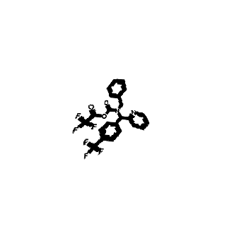 O=C(OC(=O)C(F)(F)F)N(Cc1ccccc1)C(c1ccc(C(F)(F)F)cc1)c1ccccn1